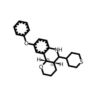 c1ccc(Oc2ccc3c(c2)[C@H]2OCCC[C@H]2C(C2CCSCC2)N3)cc1